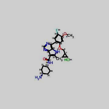 COc1cc(OCC2CC2)c(-c2ncnc3c(C(=O)N[C@H]4CC[C@H](N)CC4)c(C)[nH]c23)cc1F.Cl